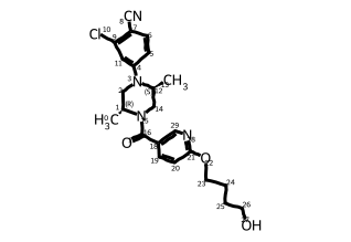 C[C@@H]1CN(c2ccc(C#N)c(Cl)c2)[C@@H](C)CN1C(=O)c1ccc(OCCCCO)nc1